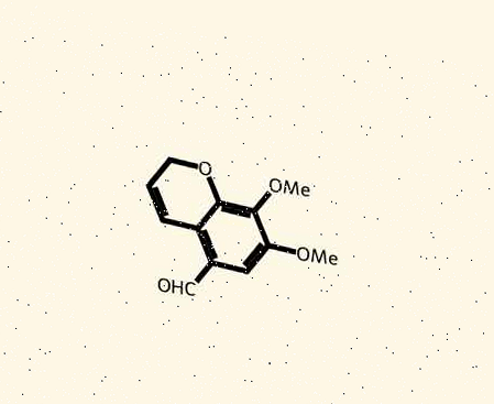 COc1cc(C=O)c2c(c1OC)OCC=C2